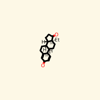 CC[C@]12CC[C@H]3[C@@H](CCC4=CC(=O)C=C[C@@]43C)[C@@H]1CCC2=O